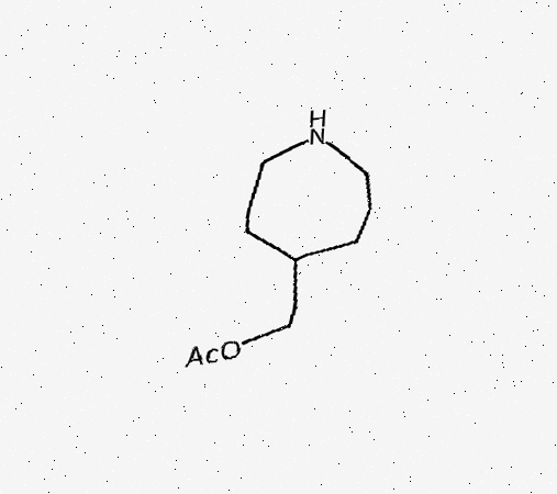 CC(=O)OCC1CCNCC1